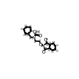 O=C(O)N(CCON1C(=O)c2ccccc2C1=O)Cc1ccccc1